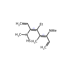 C=C/C(NC)=C(C)/C(CC)=C(/C=C)N(C)S